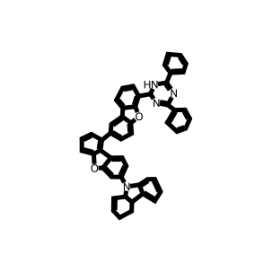 C1=CC2C(CC1)c1ccccc1N2c1ccc2c(c1)oc1cccc(-c3ccc4oc5c(C6N=C(c7ccccc7)N=C(c7ccccc7)N6)cccc5c4c3)c12